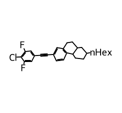 CCCCCCC1CCC2c3ccc(C#Cc4cc(F)c(Cl)c(F)c4)cc3CCC2C1